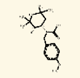 COc1ccc(CN(C(=O)O)[C@H]2CC(C)(C)NC(C)(C)[C@H]2F)cc1